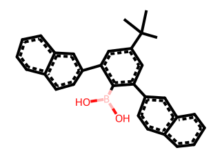 CC(C)(C)c1cc(-c2ccc3ccccc3c2)c(B(O)O)c(-c2ccc3ccccc3c2)c1